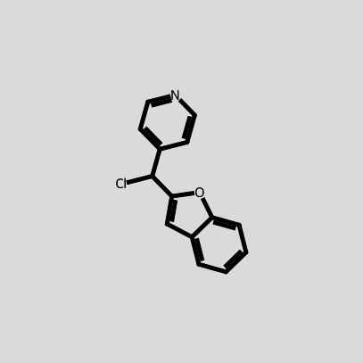 ClC(c1ccncc1)c1cc2ccccc2o1